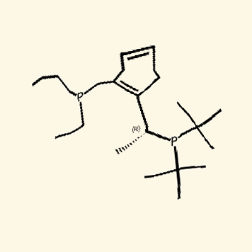 CCP(CC)C1=C([C@@H](C)P(C(C)(C)C)C(C)(C)C)CC=C1